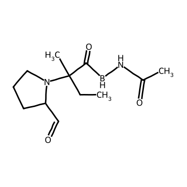 CCC(C)(C(=O)BNC(C)=O)N1CCCC1C=O